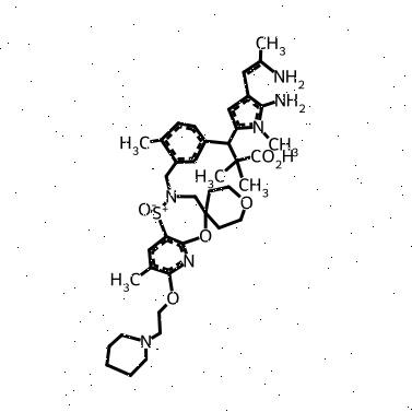 C/C(N)=C/c1cc(C(c2ccc(C)c(CN3CC4(CCOCC4)Oc4nc(OCCN5CCCCC5)c(C)cc4[S+]3[O-])c2)C(C)(C)C(=O)O)n(C)c1N